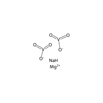 [Mg+2].[NaH].[O]=[V](=[O])[O-].[O]=[V](=[O])[O-]